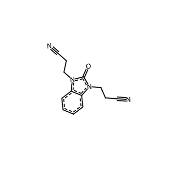 N#CCCn1c(=O)n(CCC#N)c2ccccc21